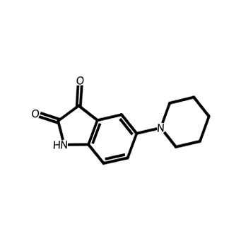 O=C1Nc2ccc(N3CCCCC3)cc2C1=O